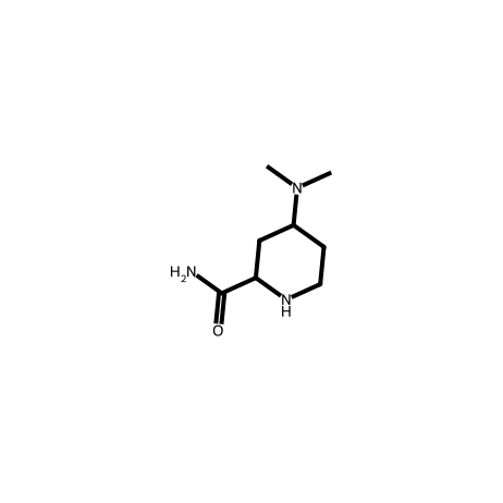 CN(C)C1CCNC(C(N)=O)C1